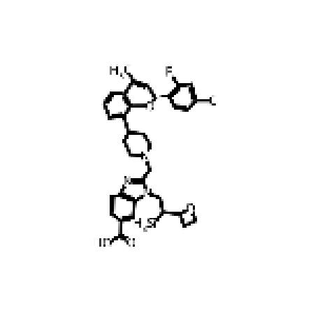 CC1=C[C@@H](c2ccc(Cl)cc2F)Oc2c1cccc2C1CCN(Cc2nc3ccc(C(=O)O)cc3n2CC([SiH3])C2CCO2)CC1